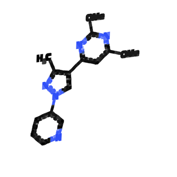 COc1cc(-c2cn(-c3cccnc3)nc2C)nc(OC)n1